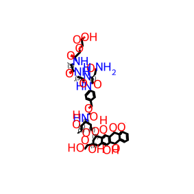 COc1cccc2c1C(=O)c1c(O)c3c(c(O)c1C2=O)C[C@@](O)(C(=O)CO)C[C@@H]3O[C@H]1C[C@H](NC(=O)OCc2ccc(NC(=O)[C@H](CC(N)=O)NC(=O)[C@H](C)NC(=O)[C@H](C)NC(=O)COCC(=O)O)cc2)[C@H](O)[C@H](C)O1